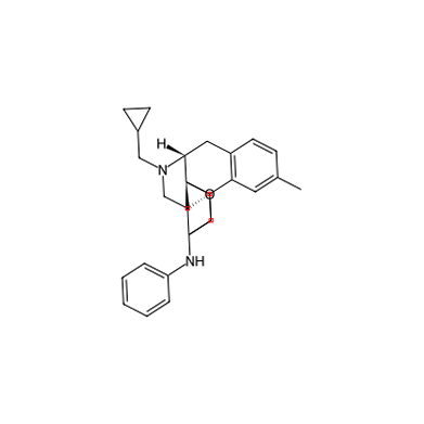 Cc1ccc2c(c1)[C@]13CCN(CC4CC4)[C@H](C2)[C@]12CCC(Nc1ccccc1)(CO2)C3